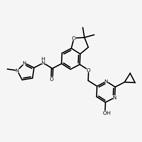 Cn1ccc(NC(=O)c2cc(OCc3cc(O)nc(C4CC4)n3)c3c(c2)OC(C)(C)C3)n1